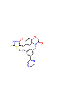 Cc1cc(CN2C(=O)COc3ccc(C=C4SC(=S)NC4=O)cc32)cc(-c2cnccn2)c1